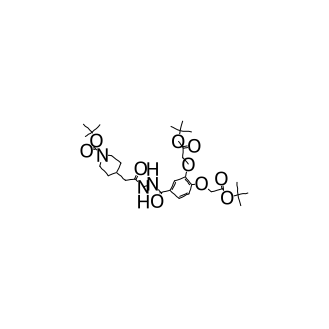 CC(C)(C)OC(=O)COc1ccc(C(=O)NNC(=O)CC2CCN(C(=O)OC(C)(C)C)CC2)cc1OCC(=O)OC(C)(C)C